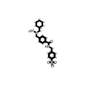 CCCN(Cc1ccc(C(=O)NCc2ccc(S(=O)(=O)CC)cc2)cc1)CC1CCCCC1